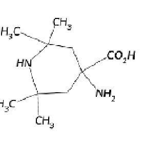 CC1(C)CC(N)(C(=O)O)CC(C)(C)N1